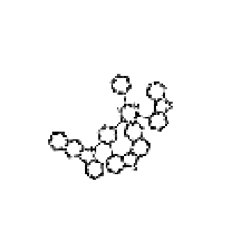 c1ccc(-c2nc(-c3ccc(-n4c5ccccc5c5cc6ccccc6cc54)c(-c4cccc5sc6ccc7ccccc7c6c45)c3)nc(-c3cccc4sc5ccccc5c34)n2)cc1